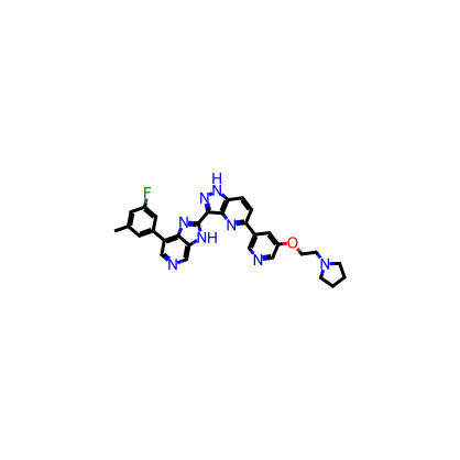 Cc1cc(F)cc(-c2cncc3[nH]c(-c4n[nH]c5ccc(-c6cncc(OCCN7CCCC7)c6)nc45)nc23)c1